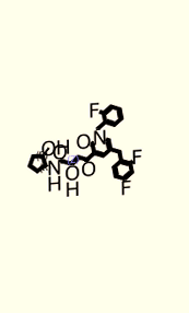 O=C(N[C@@H]1CCC[C@H]1O)/C(O)=C/C(=O)c1cc(Cc2ccc(F)cc2F)cn(Cc2ccccc2F)c1=O